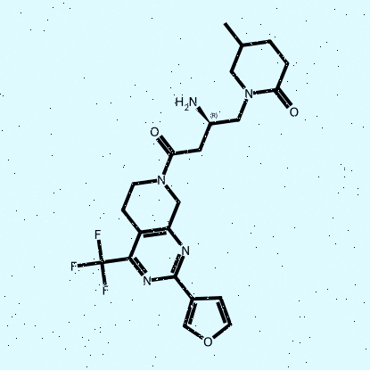 CC1CCC(=O)N(C[C@H](N)CC(=O)N2CCc3c(nc(-c4ccoc4)nc3C(F)(F)F)C2)C1